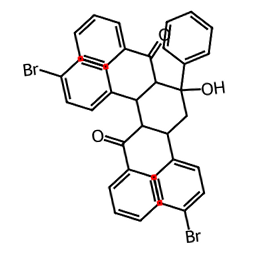 O=C(c1ccccc1)C1C(c2ccc(Br)cc2)CC(O)(c2ccccc2)C(C(=O)c2ccccc2)C1c1ccc(Br)cc1